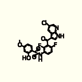 COc1ccc(S(=O)(=O)Nc2ccc(F)c(C(=O)c3c[nH]c4ncc(Cl)cc34)c2F)c(O)c1